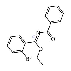 CCO/C(=N\C(=O)c1ccccc1)c1ccccc1Br